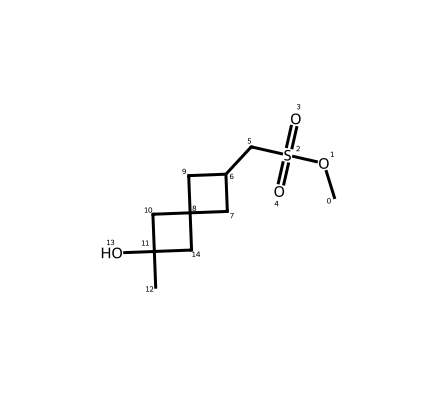 COS(=O)(=O)CC1CC2(C1)CC(C)(O)C2